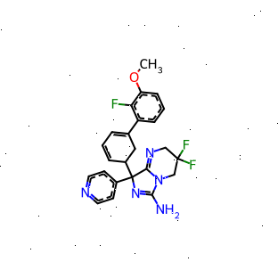 COc1cccc(C2=CC=CC(C3(c4ccncc4)N=C(N)N4CC(F)(F)CN=C43)C2)c1F